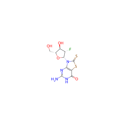 Nc1nc2c(sc(=S)n2[C@@H]2O[C@H](CO)[C@@H](O)[C@@H]2F)c(=O)[nH]1